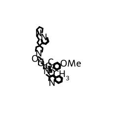 COc1cc(C)c(S(=O)(=O)N(CCOCC(=O)N2CCC(CCCN3CCCC3)(c3cccnc3)CC2)Cc2cnc3ccccc3c2)c(C)c1